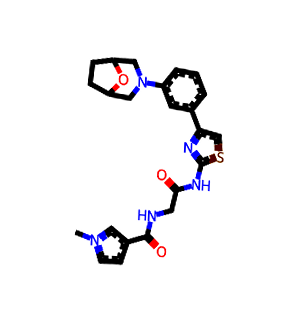 Cn1ccc(C(=O)NCC(=O)Nc2nc(-c3cccc(N4CC5CCC(C4)O5)c3)cs2)c1